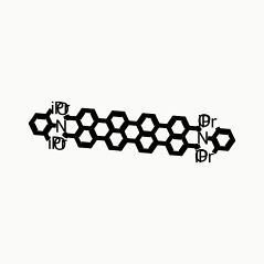 CC(C)c1cccc(C(C)C)c1N1C(=O)c2ccc3c4ccc5c6ccc7c8ccc9c%10c(ccc(c%11ccc(c%12ccc(c%13ccc(c2c3%13)C1=O)c4c5%12)c6c7%11)c%108)C(=O)N(c1c(C(C)C)cccc1C(C)C)C9=O